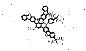 Cc1cc2c3c4c1c1cc5c(cc1n4-c1cc4c(cc1B3N(c1ccc(C(C)(C)C)cc1)c1cc3c(cc1-2)oc1cc(C(C)(C)C)ccc13)C(C)(C)c1ccccc1-4)oc1ccccc15